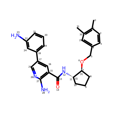 Cc1ccc(CO[C@H]2CCC[C@@H]2NC(=O)c2cc(-c3cccc(N)c3)cnc2N)cc1C